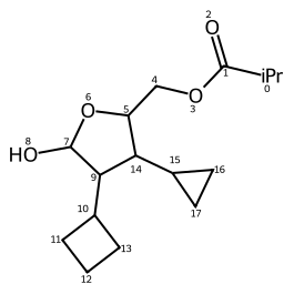 CC(C)C(=O)OCC1OC(O)C(C2CCC2)C1C1CC1